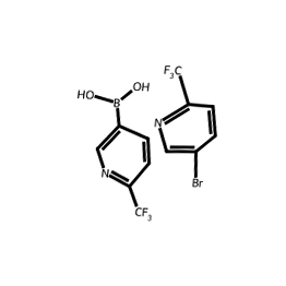 FC(F)(F)c1ccc(Br)cn1.OB(O)c1ccc(C(F)(F)F)nc1